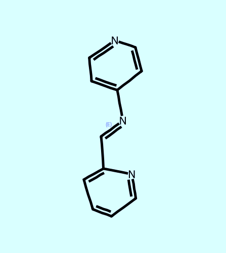 C(=N\c1ccncc1)/c1ccccn1